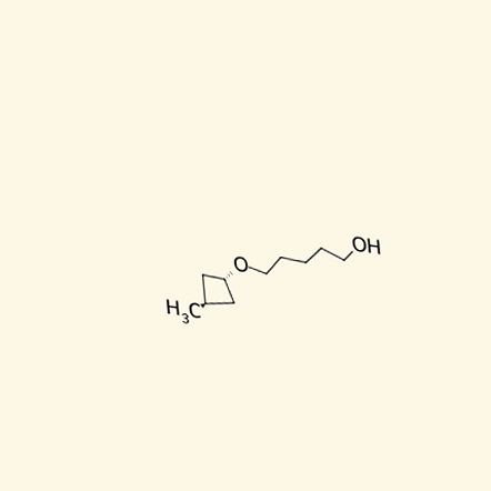 C[C@H]1C[C@H](OCCCCCO)C1